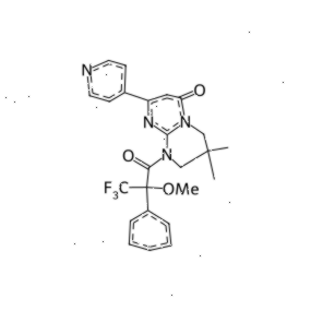 COC(C(=O)N1CC(C)(C)Cn2c1nc(-c1ccncc1)cc2=O)(c1ccccc1)C(F)(F)F